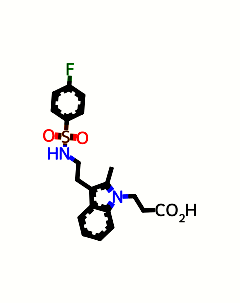 Cc1c(CCNS(=O)(=O)c2ccc(F)cc2)c2ccccc2n1CCC(=O)O